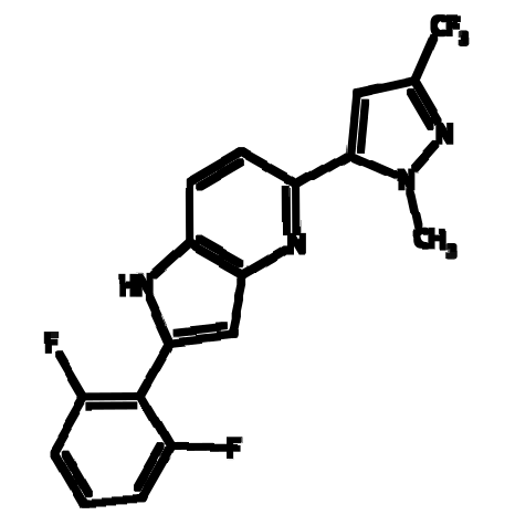 Cn1nc(C(F)(F)F)cc1-c1ccc2[nH]c(-c3c(F)cccc3F)cc2n1